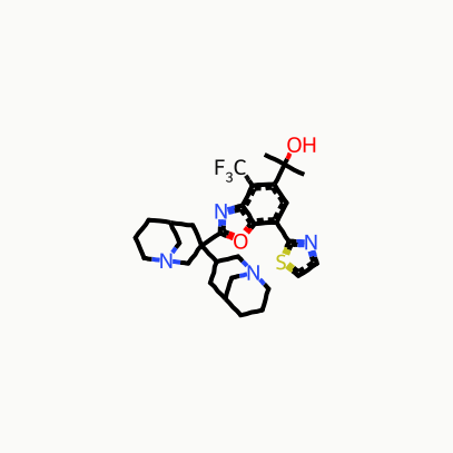 CC(C)(O)c1cc(-c2nccs2)c2oc(C3(C4CC5CCCN(C5)C4)CC4CCCN(C4)C3)nc2c1C(F)(F)F